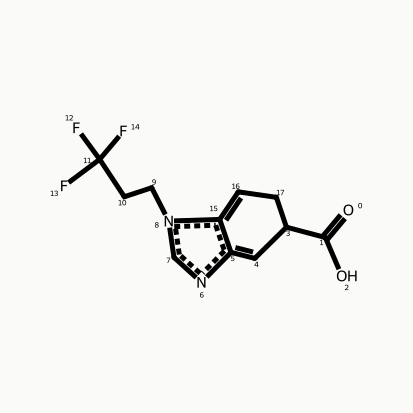 O=C(O)C1C=c2ncn(CCC(F)(F)F)c2=CC1